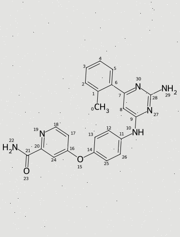 Cc1ccccc1-c1cc(Nc2ccc(Oc3ccnc(C(N)=O)c3)cc2)nc(N)n1